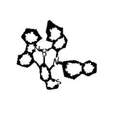 c1ccc2cc(N3c4ccc5ccccc5c4B4c5c(cc6ccsc6c53)-c3cccc5c6ccccc6n4c35)ccc2c1